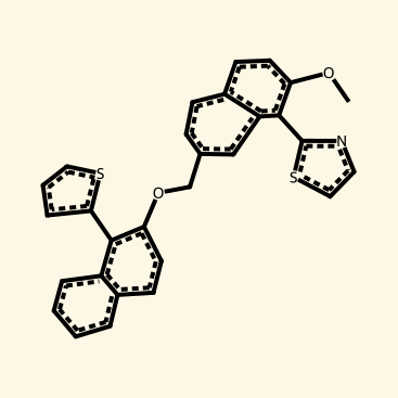 COc1ccc2ccc(COc3ccc4ccccc4c3-c3cccs3)cc2c1-c1nccs1